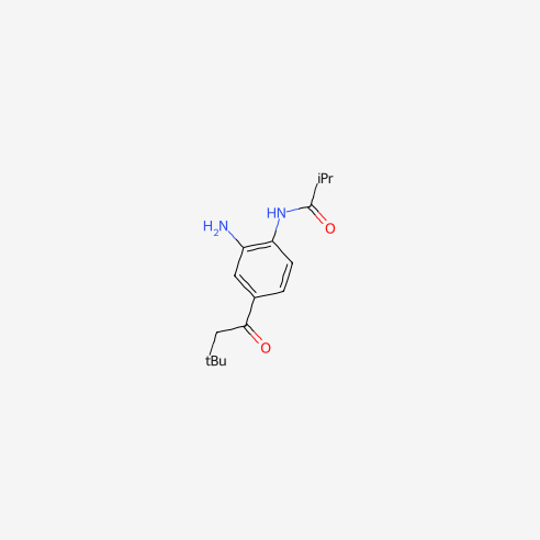 CC(C)C(=O)Nc1ccc(C(=O)CC(C)(C)C)cc1N